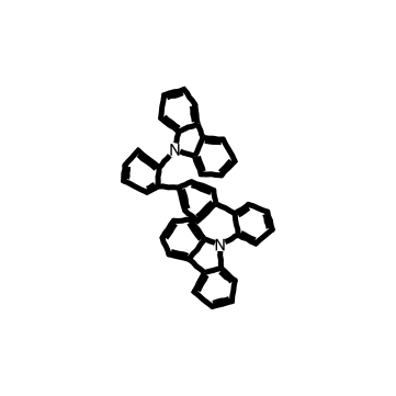 c1ccc(-n2c3ccccc3c3ccccc32)c(-c2ccc(-c3ccccc3-n3c4ccccc4c4ccccc43)cc2)c1